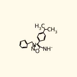 CC(C)c1ccc(-c2c([NH-])on[n+]2Cc2ccccc2)cc1